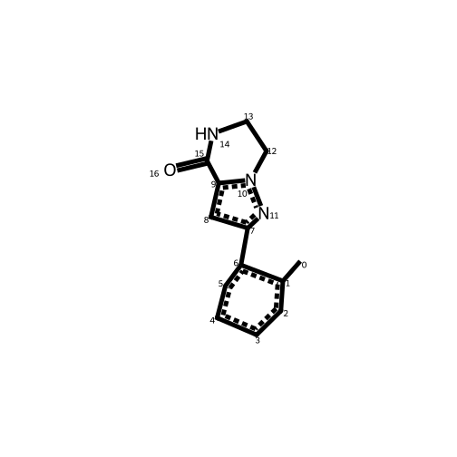 Cc1ccccc1-c1cc2n(n1)CCNC2=O